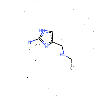 Nc1nc(CNCC(F)(F)F)c[nH]1